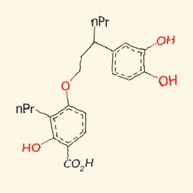 CCCc1c(OCCC(CCC)c2ccc(O)c(O)c2)ccc(C(=O)O)c1O